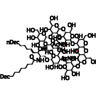 CCCCCCCCCCCCC/C=C/[C@@H](O)[C@H](CO[C@@H]1OC(CO)[C@@H](O[C@@H]2OC(CO)[C@H](O)[C@H](O[C@@H]3OC(CO)[C@@H](O[C@@H]4OC(CO)[C@H](O)[C@H](O[C@@H]5OC(CO)[C@@H](O[C@@H]6OC(CO)[C@H](O)[C@H](O[C@H]7OC(CO)[C@H](O)[C@H](O)C7O)C6O[C@H]6OC(C)[C@@H](O)C(O)[C@@H]6O)[C@H](O)C5NC(C)=O)C4O)[C@H](O)C3NC(C)=O)C2O)[C@H](O)C1O)NC(=O)CCCCCCCCCCCCCCCCC